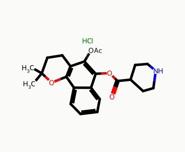 CC(=O)Oc1c2c(c3ccccc3c1OC(=O)C1CCNCC1)OC(C)(C)CC2.Cl